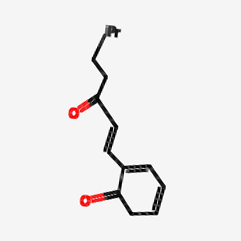 CC(C)CCC(=O)C=CC1=CC=CCC1=O